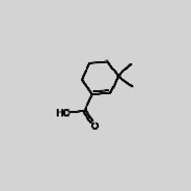 CC1(C)C=C(C(=O)O)CCC1